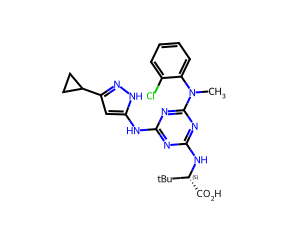 CN(c1nc(Nc2cc(C3CC3)n[nH]2)nc(N[C@H](C(=O)O)C(C)(C)C)n1)c1ccccc1Cl